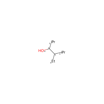 CCC(C(C)C)C(O)C(C)C